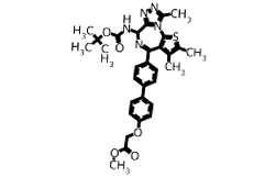 COC(=O)COc1ccc(-c2ccc(C3=NC(NC(=O)OC(C)(C)C)c4nnc(C)n4-c4sc(C)c(C)c43)cc2)cc1